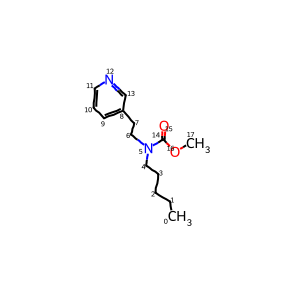 CCCCCN(CCc1cccnc1)C(=O)OC